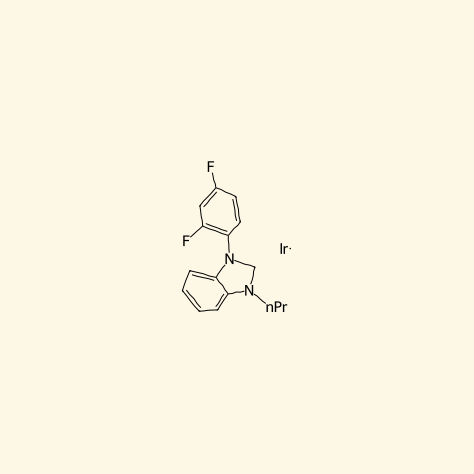 CCCN1CN(c2ccc(F)cc2F)c2ccccc21.[Ir]